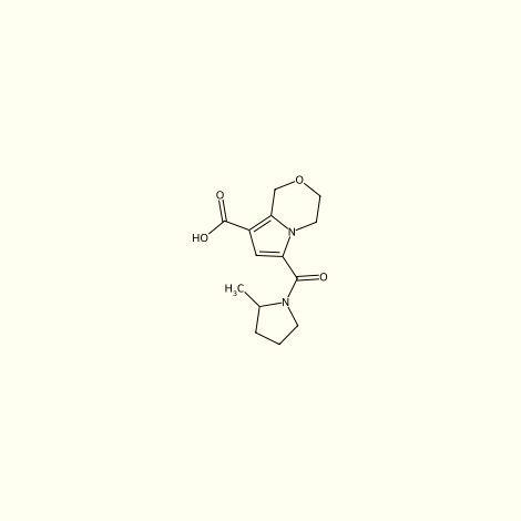 CC1CCCN1C(=O)c1cc(C(=O)O)c2n1CCOC2